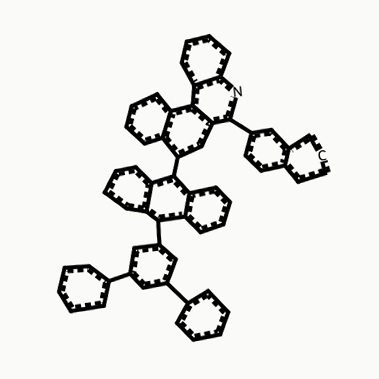 c1ccc(-c2cc(-c3ccccc3)cc(-c3c4ccccc4c(-c4cc5c(-c6ccc7ccccc7c6)nc6ccccc6c5c5ccccc45)c4ccccc34)c2)cc1